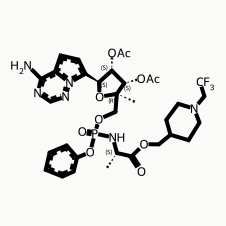 CC(=O)O[C@H]1[C@H](c2ccc3c(N)ncnn23)O[C@](C)(COP(=O)(N[C@@H](C)C(=O)OCC2CCN(CC(F)(F)F)CC2)Oc2ccccc2)[C@H]1OC(C)=O